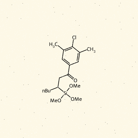 CCCCC(CC(=O)c1cc(C)c(Cl)c(C)c1)[Si](OC)(OC)OC